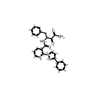 NC(=O)C(=O)C(Cc1ccccc1)NC(=O)c1cccnc1-n1ccc(-c2ccccc2)n1